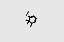 COC1=CC=CC(C)C1(C)C